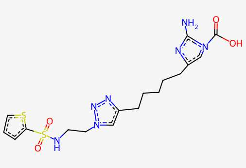 Nc1nc(CCCCCc2cn(CCNS(=O)(=O)c3cccs3)nn2)cn1C(=O)O